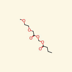 CCCC(=O)OCOC(=O)COCCOC